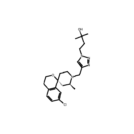 C[C@H]1C[C@@]2(CCN1Cc1cn(CCC(C)(C)O)nn1)OCCc1ccc(Cl)cc12